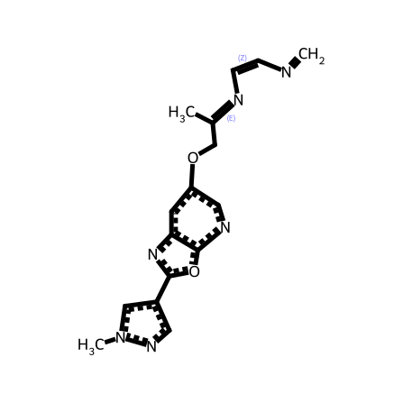 C=N/C=C\N=C(/C)COc1cnc2oc(-c3cnn(C)c3)nc2c1